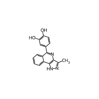 Cc1n[nH]c2c1nc(-c1ccc(O)c(O)c1)c1ccccc12